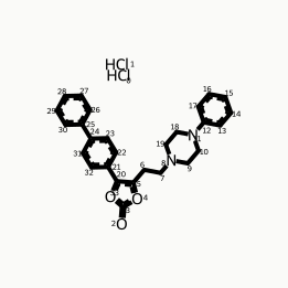 Cl.Cl.O=c1oc(CCN2CCN(c3ccccc3)CC2)c(-c2ccc(-c3ccccc3)cc2)o1